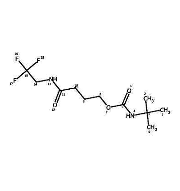 CC(C)(C)NC(=O)OCCCC(=O)NCC(F)(F)F